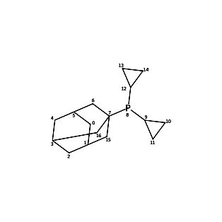 C1C2CC3CC1CC(P(C1CC1)C1CC1)(C2)C3